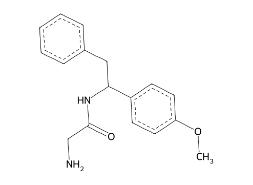 COc1ccc(C(Cc2ccccc2)NC(=O)CN)cc1